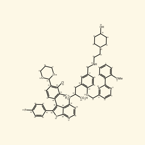 COc1ccccc1-c1nccc(COc2ccc(CNCCN3CCC(O)CC3)cc2CC(Oc2ncnc3sc(-c4ccc(F)cc4)c(-c4ccc(C5OCCCO5)c(Cl)c4C)c23)C(=O)O)n1